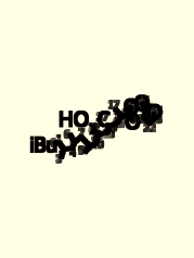 CCC(C)CC(C)CC(C)CC(C)/C=C(C)/C=C(/CC(C)C(=O)O[C@H]1CCOC1=O)C(=O)O